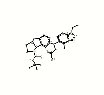 CCn1nnc2c(C)c(C(CC(=O)O)c3ccc4c(c3)C3C(CCN3C(=O)OC(C)(C)C)C4)ccc21